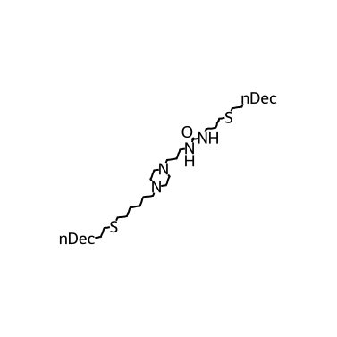 CCCCCCCCCCCCSCCCCCCN1CCN(CCCNC(=O)NCCCSCCCCCCCCCCCC)CC1